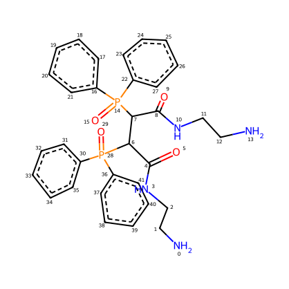 NCCNC(=O)C(C(C(=O)NCCN)P(=O)(c1ccccc1)c1ccccc1)P(=O)(c1ccccc1)c1ccccc1